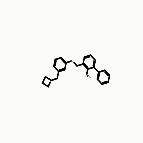 Cc1c(COc2cccc(CN3CCC3)c2)cccc1-c1ccccc1